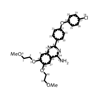 COCCOc1cc2nc(-c3ccc(Oc4ccc(Cl)cc4)cc3)nc(N)c2cc1OCCOC